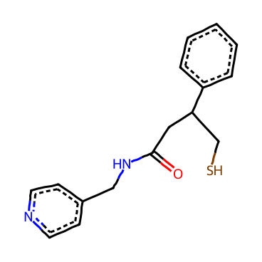 O=C(CC(CS)c1ccccc1)NCc1ccncc1